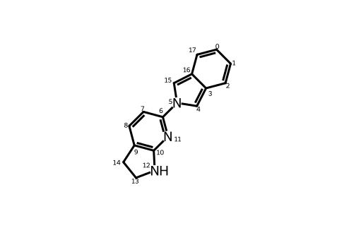 c1ccc2cn(-c3ccc4c(n3)NCC4)cc2c1